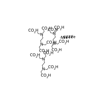 O=C(O)CN(CCN(CC(=O)O)CC(=O)O)CC(=O)O.O=C(O)CN(CCN(CC(=O)O)CC(=O)O)CC(=O)O.O=C(O)CN(CCN(CC(=O)O)CC(=O)O)CC(=O)O.[Fe].[Fe].[Fe].[Fe].[Mn]